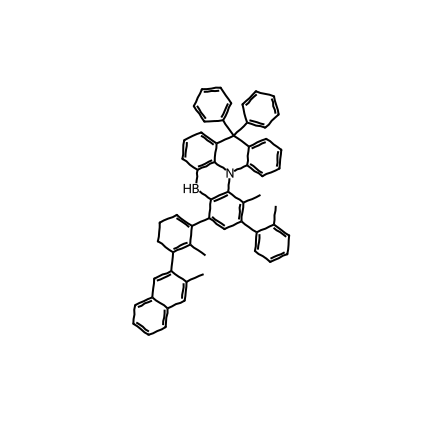 CC1=C(c2cc3ccccc3cc2C)CCC=C1c1cc(-c2ccccc2C)c(C)c2c1Bc1cccc3c1N2c1ccccc1C3(c1ccccc1)c1ccccc1